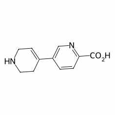 O=C(O)c1ccc(C2=CCNCC2)cn1